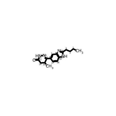 CCCCc1nc2cc(C3=NNC(=O)CC3C)ccc2[nH]1